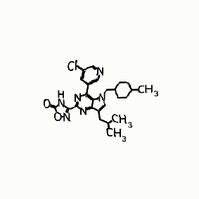 CC(C)Cc1cn(CC2CCC(C)CC2)c2c(-c3cncc(Cl)c3)nc(-c3noc(=O)[nH]3)nc12